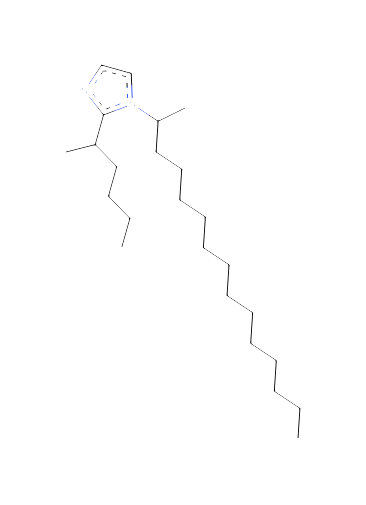 CCCCCCCCCCCCCC(C)n1ccnc1C(C)CCCC